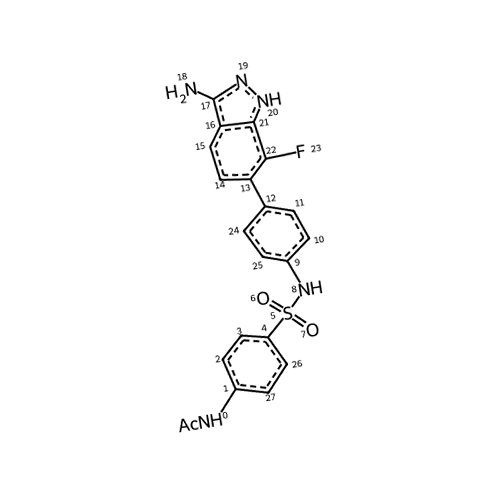 CC(=O)Nc1ccc(S(=O)(=O)Nc2ccc(-c3ccc4c(N)n[nH]c4c3F)cc2)cc1